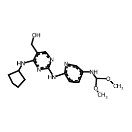 COC(Nc1ccc(Nc2ncc(CO)c(NC3CCCC3)n2)nc1)OC